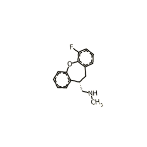 CNC[C@H]1Cc2cccc(F)c2Oc2ccccc21